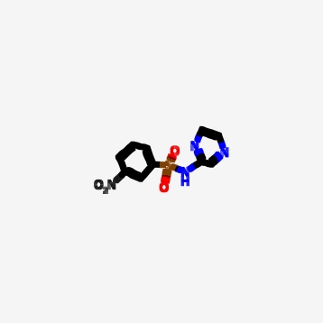 O=[N+]([O-])c1cccc(S(=O)(=O)Nc2cnccn2)c1